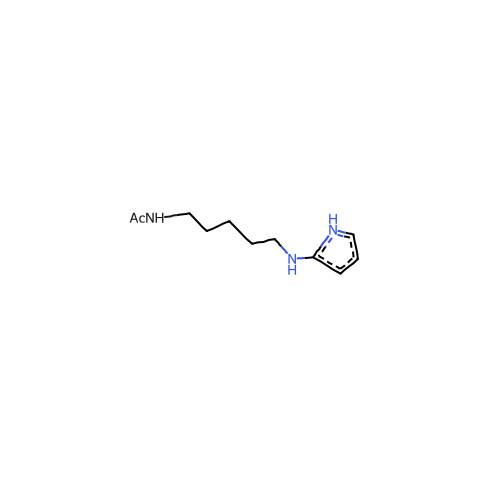 CC(=O)NCCCCCNc1ccc[nH]1